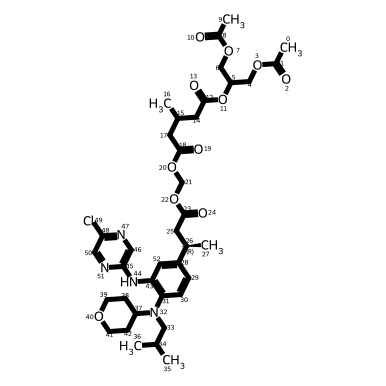 CC(=O)OCC(COC(C)=O)OC(=O)CC(C)CC(=O)OCOC(=O)C[C@@H](C)c1ccc(N(CC(C)C)C2CCOCC2)c(Nc2cnc(Cl)cn2)c1